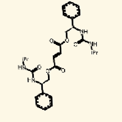 CC(C)NC(=O)N[C@@H](COC(=O)/C=C/C(=O)OC[C@H](NC(=O)NC(C)C)c1ccccc1)c1ccccc1